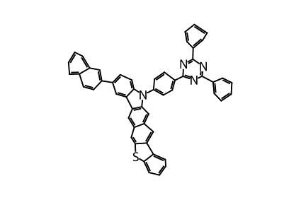 c1ccc(-c2nc(-c3ccccc3)nc(-c3ccc(-n4c5ccc(-c6ccc7ccccc7c6)cc5c5cc6cc7sc8ccccc8c7cc6cc54)cc3)n2)cc1